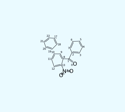 O=C(c1ccccc1)c1ccccc1[N+](=O)[O-].[c]1ccccc1